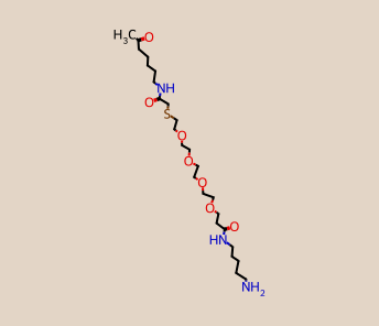 CC(=O)CCCCCNC(=O)CSCCOCCOCCOCCOCCC(=O)NCCCCCN